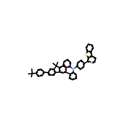 CC(C)(C)c1ccc(-c2ccc3c(c2)C(C)(C)c2ccc(-c4ccccc4N(c4ccccc4)c4ccc(-c5cccc6c5sc5ccccc56)cc4)cc2-3)cc1